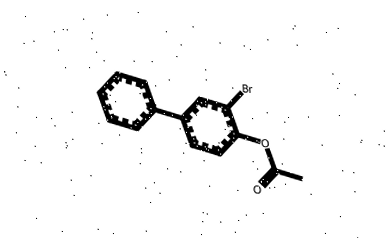 CC(=O)Oc1ccc(-c2ccccc2)cc1Br